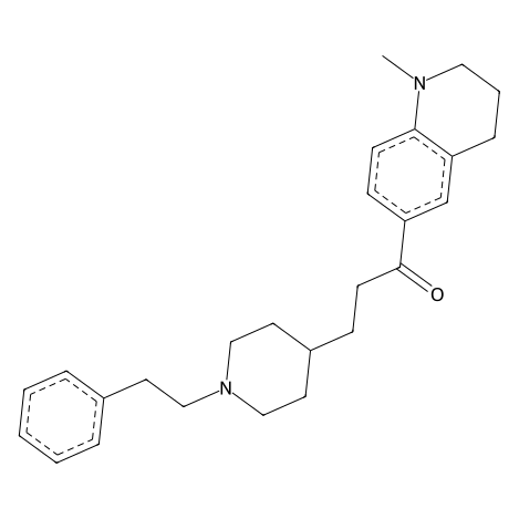 CN1CCCc2cc(C(=O)CCC3CCN(CCc4ccccc4)CC3)ccc21